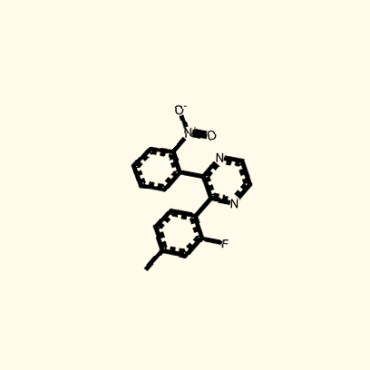 Cc1ccc(-c2nccnc2-c2ccccc2[N+](=O)[O-])c(F)c1